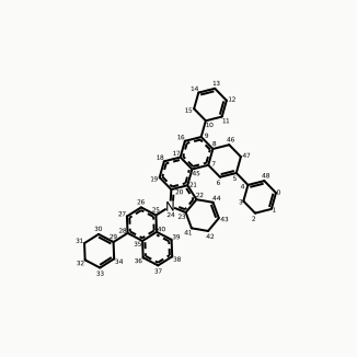 C1=CCCC(C2=Cc3c(c(C4C=CC=CC4)cc4ccc5c(c6c(n5-c5ccc(C7=CCCC=C7)c7ccccc57)CCC=C6)c34)CC2)=C1